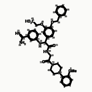 COc1ccccc1N1CCN(C(=O)CNC(=O)C(Nc2cccc(C(=N)N)c2)c2ccc(OCc3ccccc3)c(OCC(=O)O)c2)CC1